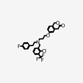 O=C1Cc2cc(OCCCN(CCc3ccc(F)cc3)Cc3cccc(C(F)(F)F)c3Cl)ccc2CO1